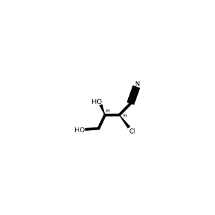 N#C[C@@H](Cl)[C@H](O)CO